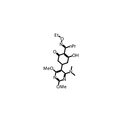 CCCC(=NOCC)C1=C(O)CC(c2c(OC)nc(OC)nc2N(C)C)CC1=O